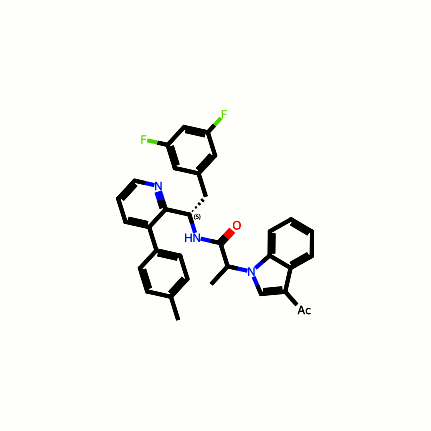 CC(=O)c1cn(C(C)C(=O)N[C@@H](Cc2cc(F)cc(F)c2)c2ncccc2-c2ccc(C)cc2)c2ccccc12